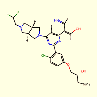 CNC[C@@H](O)COc1ccc(Cl)c(-c2nc(/C(C(C)=N)=C(\C)O)c(C)c(N3C[C@H]4CN(CC(F)F)C[C@@H]4C3)n2)c1